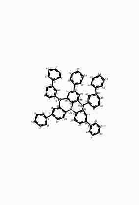 c1ccc(-c2cccc(N3c4cc(-c5ccccc5)ccc4B4c5ccc(-c6ccccc6)cc5N(c5cccc(-c6ccccc6)c5)c5cc(-c6ccccc6)cc3c54)c2)cc1